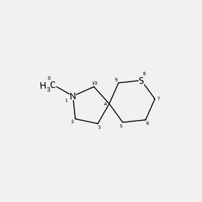 CN1CCC2(CCCSC2)C1